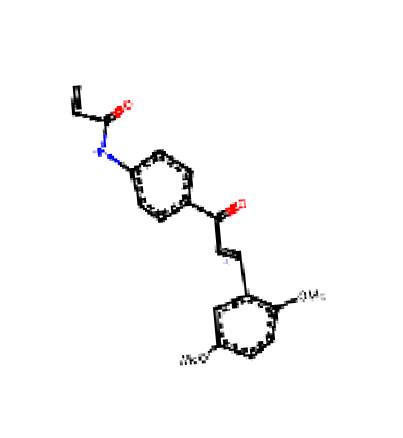 C=CC(=O)Nc1ccc(C(=O)/C=C/c2cc(OC)ccc2OC)cc1